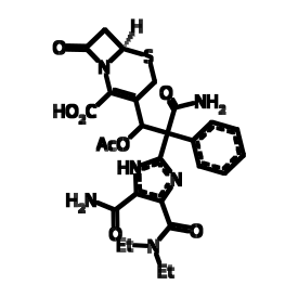 CCN(CC)C(=O)c1nc(C(C(N)=O)(c2ccccc2)C(OC(C)=O)C2=C(C(=O)O)N3C(=O)C[C@H]3SC2)[nH]c1C(N)=O